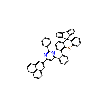 C1=Cc2cc(-c3cc(-c4ccccc4-c4cccc5c4Sc4ccccc4C54c5ccccc5-c5ccccc54)nc(-c4ccccc4)n3)cc3cccc(c23)C1